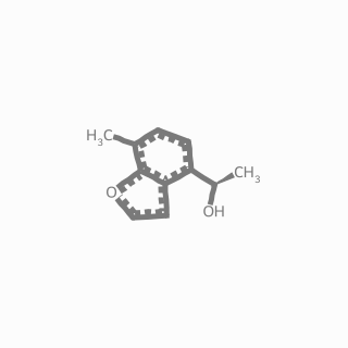 Cc1ccc([C@@H](C)O)c2ccoc12